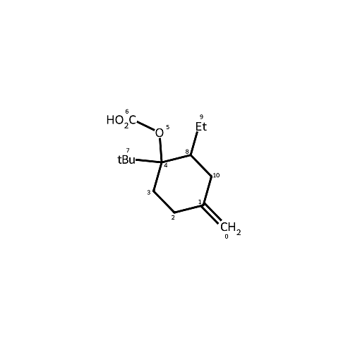 C=C1CCC(OC(=O)O)(C(C)(C)C)C(CC)C1